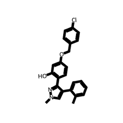 Cc1ccccc1-c1cn(C)nc1-c1ccc(OCc2ccc(Cl)cc2)cc1O